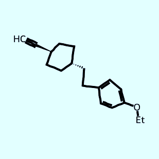 C#C[C@H]1CC[C@H](CCc2ccc(OCC)cc2)CC1